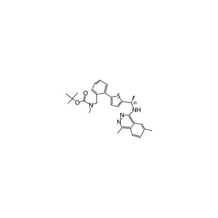 Cc1ccc2c(C)nnc(N[C@H](C)c3ccc(-c4ccccc4CN(C)C(=O)OC(C)(C)C)s3)c2c1